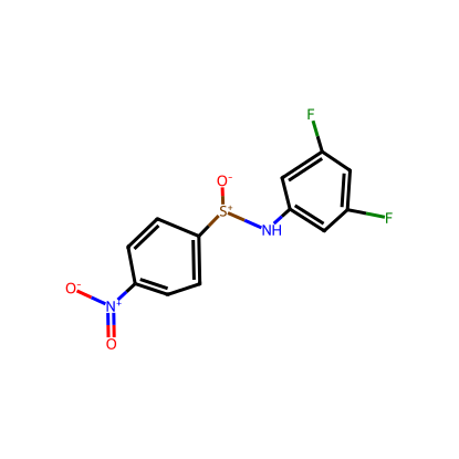 O=[N+]([O-])c1ccc([S+]([O-])Nc2cc(F)cc(F)c2)cc1